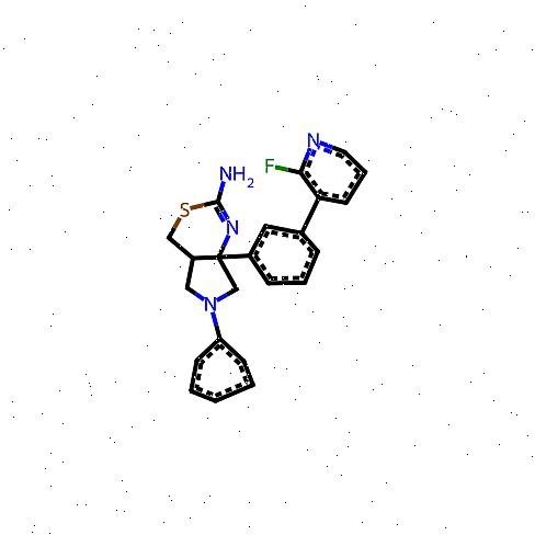 NC1=NC2(c3cccc(-c4cccnc4F)c3)CN(c3ccccc3)CC2CS1